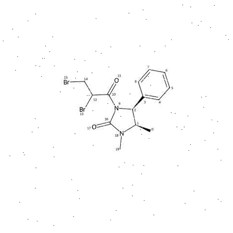 C[C@@H]1[C@H](c2ccccc2)N(C(=O)C(Br)CBr)C(=O)N1C